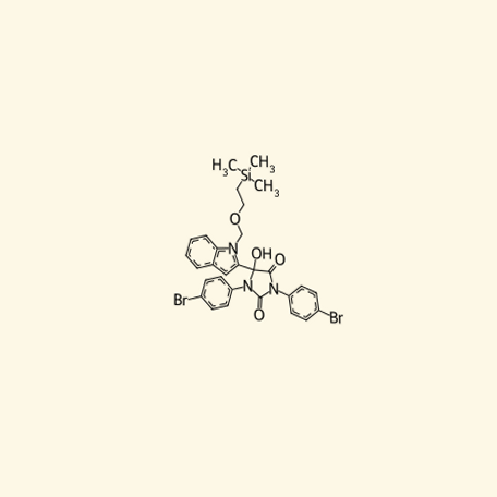 C[Si](C)(C)CCOCn1c(C2(O)C(=O)N(c3ccc(Br)cc3)C(=O)N2c2ccc(Br)cc2)cc2ccccc21